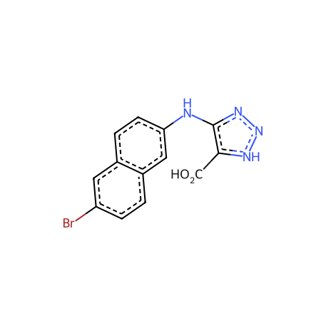 O=C(O)c1[nH]nnc1Nc1ccc2cc(Br)ccc2c1